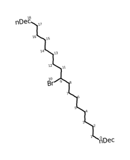 CCCCCCCCCCCCCCCCCCC(Br)CCCCCCCCCCCCCCCCC